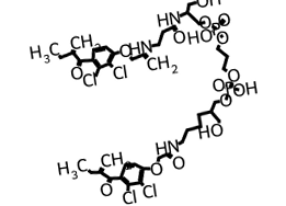 C=C(COc1ccc(C(=O)C(=C)CC)c(Cl)c1Cl)NCCC(=O)NC(CO)COP(=O)(O)OCCCOP(=O)(O)OCC(CO)CCCCNC(=O)COc1ccc(C(=O)C(=C)CC)c(Cl)c1Cl